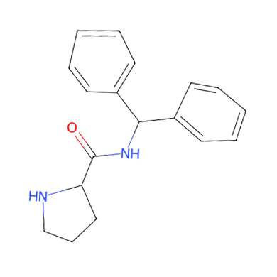 O=C(NC(c1ccccc1)c1ccccc1)C1CCCN1